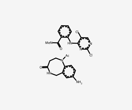 CC(=O)N1CCC(=O)NCc2cc(N)ccc21.CNC(=O)c1ccccc1Nc1nc(Cl)ncc1Cl